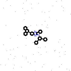 c1ccc(-c2cc(-c3ccccc3)cc(-n3c4ccccc4c4nc5cc(-c6cc7ccccc7c7ccccc67)ccc5nc43)c2)cc1